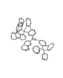 c1ccc(-n2c3ccccc3c3cccc(C4(c5ccccc5)c5ccccc5-c5ccc(N(c6ccc7c(c6)C(c6ccccc6)(c6ccccc6)c6ccccc6-7)c6ccc7ccccc7c6)cc54)c32)cc1